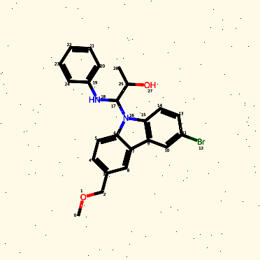 COCc1ccc2c(c1)c1cc(Br)ccc1n2C(Nc1ccccc1)C(C)O